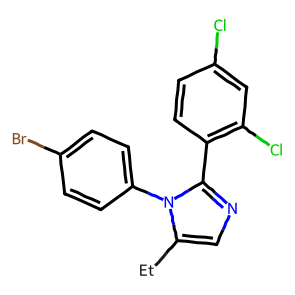 CCc1cnc(-c2ccc(Cl)cc2Cl)n1-c1ccc(Br)cc1